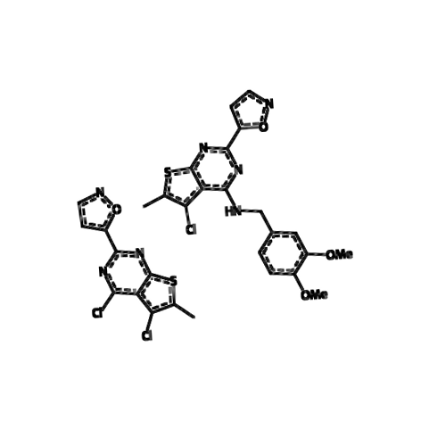 COc1ccc(CNc2nc(-c3ccno3)nc3sc(C)c(Cl)c23)cc1OC.Cc1sc2nc(-c3ccno3)nc(Cl)c2c1Cl